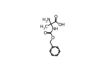 CC(N)(NC(=O)OCc1ccccc1)C(=O)O